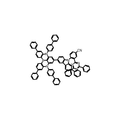 N#Cc1ccc(-n2c3ccc(-c4cc5c6c(c4)N(c4ccc(-c7ccccc7)cc4)c4cc(-c7ccccc7)ccc4B6c4ccc(-c6ccccc6)cc4N5c4ccc(-c5ccccc5)cc4)cc3c3ccc(-c4ccccc4)cc32)c(-c2nc(-c3ccccc3)nc(-c3ccccc3)n2)c1